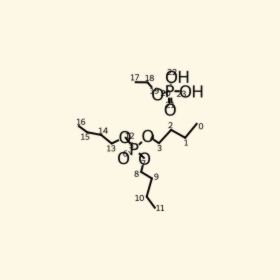 CCCCOP(=O)(OCCCC)OCCCC.CCOP(=O)(O)O